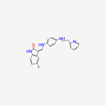 O=C1Nc2ccc(F)cc2C1=CNc1ccc(NCCc2ccccn2)cc1